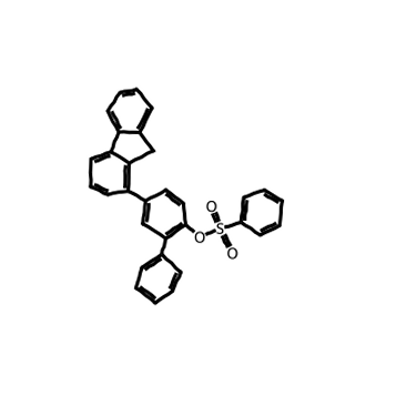 O=S(=O)(Oc1ccc(-c2cccc3c2Cc2ccccc2-3)cc1-c1ccccc1)c1ccccc1